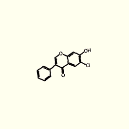 O=c1c(-c2ccccc2)coc2cc(O)c(Cl)cc12